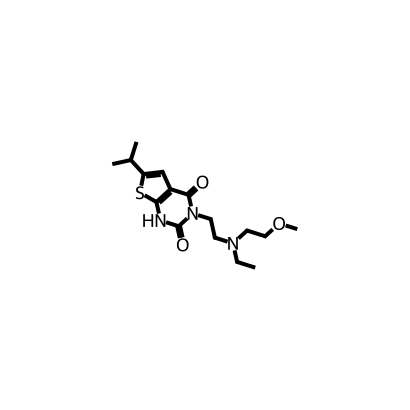 CCN(CCOC)CCn1c(=O)[nH]c2sc(C(C)C)cc2c1=O